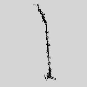 CCCCCC1CCC(C2CCC(C(=O)Oc3ccc(OC(=O)c4ccc(OCCCCCCCCOC(=O)CCCCCOC(=O)CCCCCOC(=O)CCCCCOC(=O)CCCCCOC(=O)CCCCCOC(=O)CCCCCOC(=O)CCC(=O)OC5CC(C)(C)N(C)C(C)(C)C5)cc4)cc3)CC2)CC1